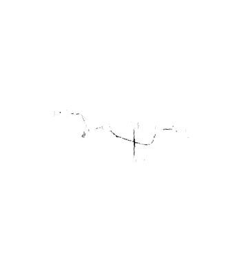 CCCC(C)(CO[N+](=O)[O-])CO[N+](=O)CO